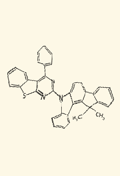 CC1(C)c2ccccc2-c2ccc3c(c21)c1ccccc1n3-c1nc(-c2ccccc2)c2c(n1)sc1ccccc12